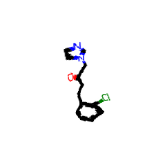 O=C(CCc1ccccc1Cl)Cn1ccnc1